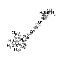 Cc1sc2c(c1C)C(c1ccc(Cl)cc1)=N[C@@H](CC(=O)NCCOCCOCCOCCNC(=O)OC(C)(C)C)c1nnc(C)n1-2